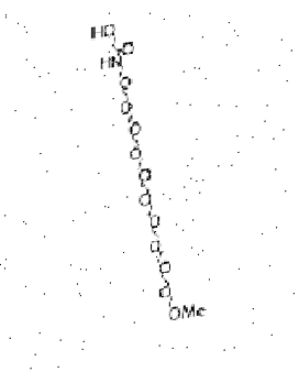 COCCOCCOCCOCCOCCOCCOCCOCCOCCOCCOCCNC(=O)CCO